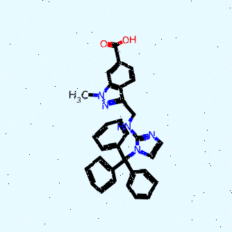 Cn1nc(CNc2nccn2C(c2ccccc2)(c2ccccc2)c2ccccc2)c2ccc(C(=O)O)cc21